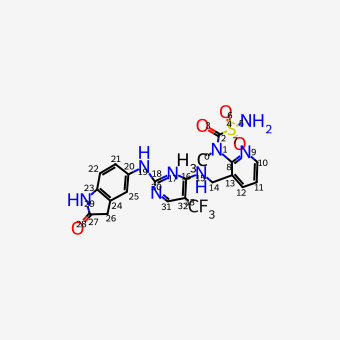 CN(C(=O)S(N)(=O)=O)c1ncccc1CNc1nc(Nc2ccc3c(c2)CC(=O)N3)ncc1C(F)(F)F